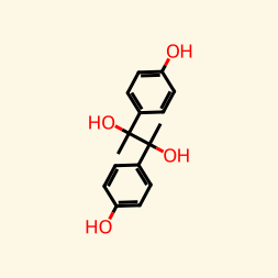 CC(O)(c1ccc(O)cc1)C(C)(O)c1ccc(O)cc1